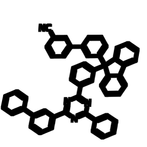 N#Cc1cccc(-c2cccc(C3(c4cccc(-c5nc(-c6ccccc6)nc(-c6cccc(-c7ccccc7)c6)n5)c4)c4ccccc4-c4ccccc43)c2)c1